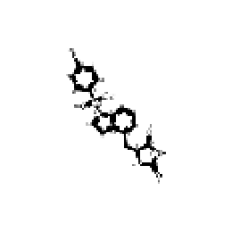 O=C1NC(=O)C(Cc2cccc3c2ccn3S(=O)(=O)c2ccc(F)cc2)S1